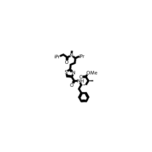 COC(=O)[C@@H](C)C[C@H](Cc1ccccc1)NC(=O)c1csc(CCC(C(C)C)N(C)C(=O)CC(C)C)n1